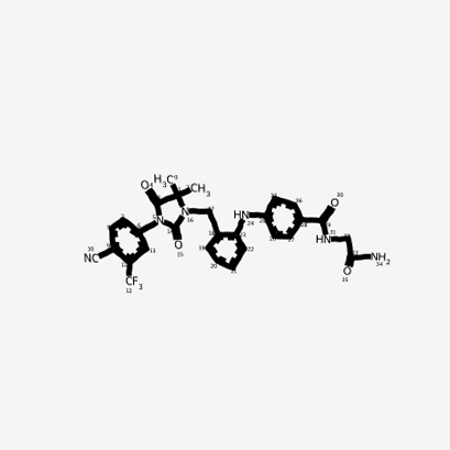 CC1(C)C(=O)N(c2ccc(C#N)c(C(F)(F)F)c2)C(=O)N1Cc1ccccc1Nc1ccc(C(=O)NCC(N)=O)cc1